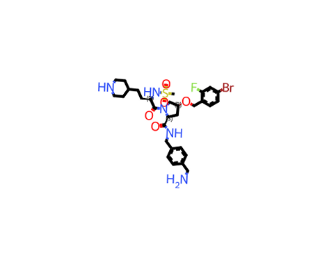 CS(=O)(=O)N[C@H](CCC1CCNCC1)C(=O)N1C[C@H](OCc2ccc(Br)cc2F)C[C@H]1C(=O)NCc1ccc(CN)cc1